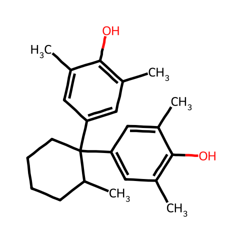 Cc1cc(C2(c3cc(C)c(O)c(C)c3)CCCCC2C)cc(C)c1O